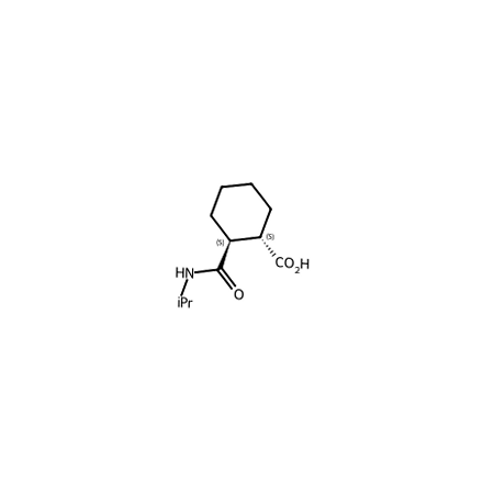 CC(C)NC(=O)[C@H]1CCCC[C@@H]1C(=O)O